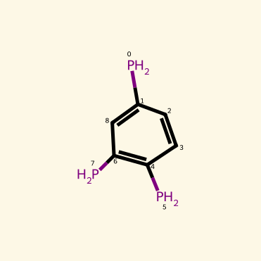 Pc1ccc(P)c(P)c1